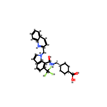 O=C(NC[C@H]1CC[C@H](C(=O)O)CC1)c1c(C(F)(F)F)ccc2ccn(Cc3ccc4ccccc4n3)c12